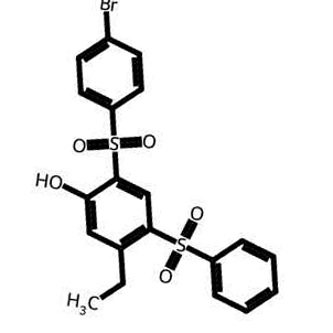 CCc1cc(O)c(S(=O)(=O)c2ccc(Br)cc2)cc1S(=O)(=O)c1ccccc1